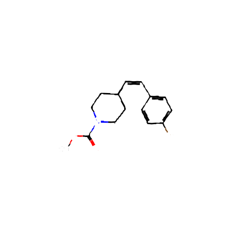 CC(C)(C)OC(=O)N1CCC(/C=C\c2ccc(Br)cc2)CC1